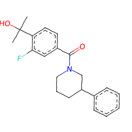 CC(C)(O)c1ccc(C(=O)N2CCCC(c3ccccc3)C2)cc1F